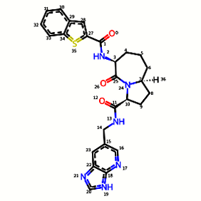 O=C(N[C@H]1CCC[C@H]2CC[C@@H](C(=O)NCc3cnc4[nH]cnc4c3)N2C1=O)c1cc2ccccc2s1